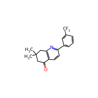 CC1(C)CC(=O)c2ccc(-c3cccc(C(F)(F)F)c3)nc2C1